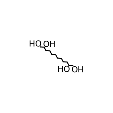 OCC(O)CCCCCCCCC(O)CO